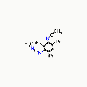 C=C=Nc1c(C(C)C)cc(C(C)C)c(N=C=NC)c1C(C)C